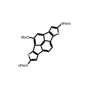 CCCCCc1cc2c(s1)-c1ccc3c4c(c(OC)cc-2c14)-c1sc(CCCCC)cc1-3